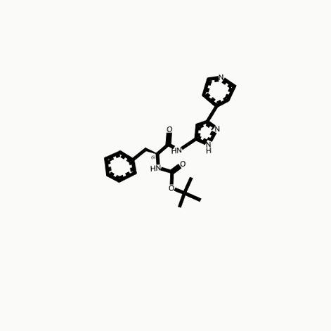 CC(C)(C)OC(=O)N[C@@H](Cc1ccccc1)C(=O)Nc1cc(-c2ccncc2)n[nH]1